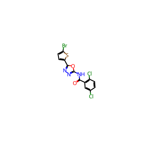 O=C(Nc1nnc(-c2ccc(Br)s2)o1)c1cc(Cl)ccc1Cl